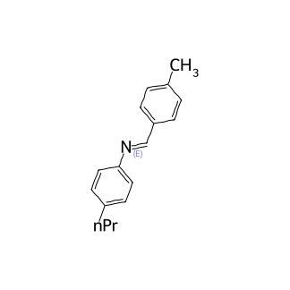 CCCc1ccc(/N=C/c2ccc(C)cc2)cc1